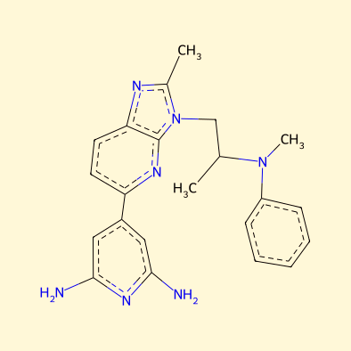 Cc1nc2ccc(-c3cc(N)nc(N)c3)nc2n1CC(C)N(C)c1ccccc1